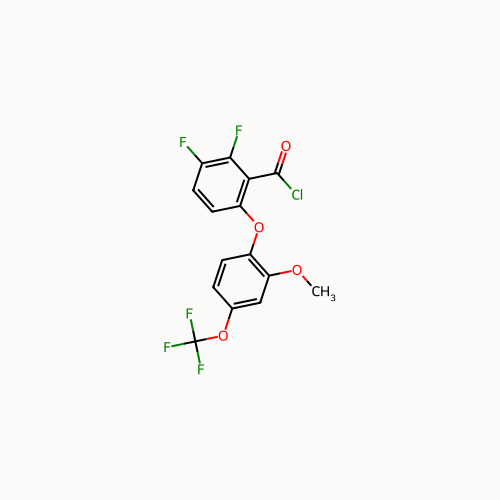 COc1cc(OC(F)(F)F)ccc1Oc1ccc(F)c(F)c1C(=O)Cl